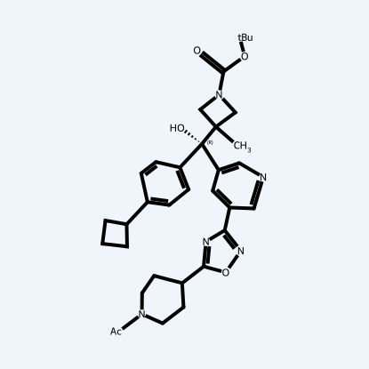 CC(=O)N1CCC(c2nc(-c3cncc([C@@](O)(c4ccc(C5CCC5)cc4)C4(C)CN(C(=O)OC(C)(C)C)C4)c3)no2)CC1